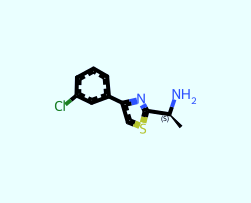 C[C@H](N)c1nc(-c2cccc(Cl)c2)cs1